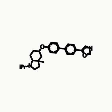 CC(C)N1CCC2(C)CC(Oc3ccc(-c4ccc(-c5cnco5)cc4)cc3)CCC12